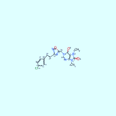 Cn1c(=O)n(C)c2c(=O)n(Cc3nc(CCc4ccc(Cl)cc4)no3)cnc21